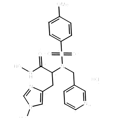 COc1ccc(S(=O)(=O)N(Cc2cccnc2)C(Cc2cn(C)cn2)C(=O)NO)cc1.Cl